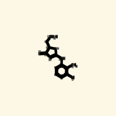 Cc1c(Cl)cccc1NC1=NC(=O)C(CC(=O)O)S1